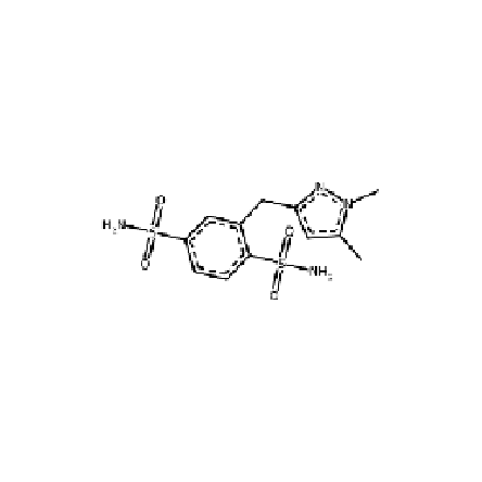 Cc1cc(Cc2cc(S(N)(=O)=O)ccc2S(N)(=O)=O)nn1C